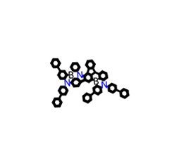 c1ccc(-c2ccc(N3c4ccc(-c5ccccc5)cc4B4c5cc6c7ccc8c9c7n(c6c6c5C(c5ccccc5-6)c5cccc3c54)-c3ccccc3B9c3cc(-c4ccccc4)ccc3N8c3ccc(-c4ccccc4)cc3)cc2)cc1